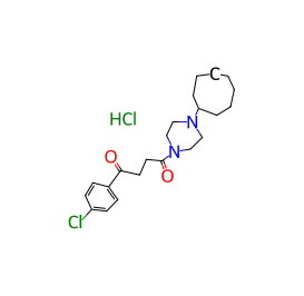 Cl.O=C(CCC(=O)N1CCN(C2CCCCCCC2)CC1)c1ccc(Cl)cc1